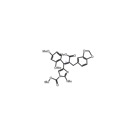 CCCCc1nc(/C(=C(\Cc2ccc3c(c2)OCO3)C(=O)OC)c2ccc(OC)cc2OC)cn1C(=O)OC(C)(C)C